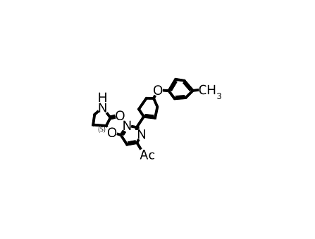 CC(=O)c1cc(O[C@H]2CCNC2=O)nc(C2=CCC(Oc3ccc(C)cc3)CC2)n1